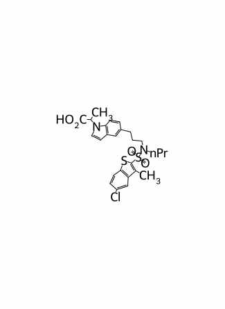 CCCN(CCCc1ccc2c(ccn2C(C)C(=O)O)c1)S(=O)(=O)c1sc2ccc(Cl)cc2c1C